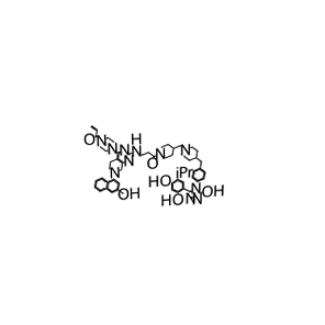 C=CC(=O)N1CCN(c2nc(NCCC(=O)N3CCC(CN4CCC(Cc5ccc(-n6c(O)nnc6-c6cc(C(C)C)c(O)cc6O)cc5)CC4)CC3)nc3c2CCN(c2cc(O)cc4ccccc24)C3)CC1